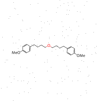 COc1ccc(CCCCOCCCCc2ccc(OC)cc2)cc1